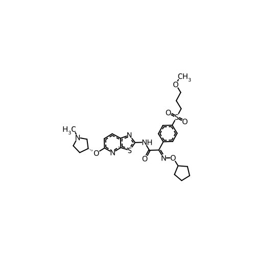 COCCCS(=O)(=O)c1ccc(/C(=N\OC2CCCC2)C(=O)Nc2nc3ccc(O[C@@H]4CCN(C)C4)nc3s2)cc1